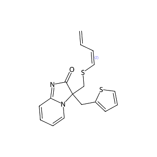 C=C/C=C\SCC1(Cc2cccs2)C(=O)N=C2C=CC=CN21